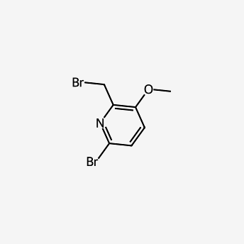 COc1ccc(Br)nc1CBr